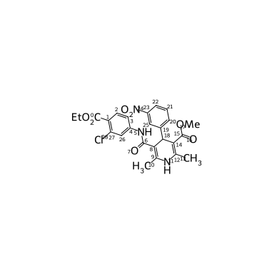 CCOC(=O)c1ccc(NC(=O)C2=C(C)NC(C)=C(C(=O)OC)C2c2cccc([N+](=O)[O-])c2)cc1Cl